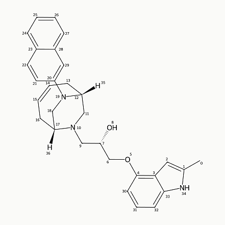 Cc1cc2c(OC[C@@H](O)CN3C[C@H]4C/C=C\C[C@@H]3CN4c3ccc4ccccc4c3)cccc2[nH]1